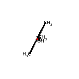 CCCCCCCCCCCCCCCCCCOCCCCCCCCCCCCCCCCCC.CCCS(=O)(=O)O